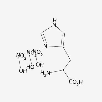 NC(Cc1c[nH]cn1)C(=O)O.O=[N+]([O-])O.O=[N+]([O-])O.O=[N+]([O-])O